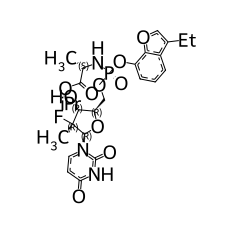 CCc1coc2c(OP(=O)(N[C@@H](C)C(=O)OC(C)C)OC[C@H]3O[C@@H](n4ccc(=O)[nH]c4=O)[C@](C)(F)[C@@H]3O)cccc12